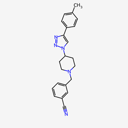 Cc1ccc(-c2cn(C3CCN(Cc4cccc(C#N)c4)CC3)nn2)cc1